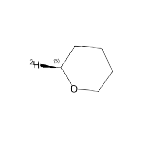 [2H][C@H]1CCCCO1